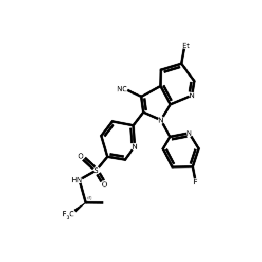 CCc1cnc2c(c1)c(C#N)c(-c1ccc(S(=O)(=O)N[C@@H](C)C(F)(F)F)cn1)n2-c1ccc(F)cn1